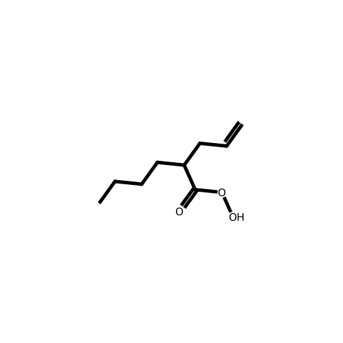 C=CCC(CCCC)C(=O)OO